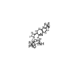 C[C@@](O)(C(=O)C1NC1CCC1=Nc2ccc(C(F)(F)F)cc2CCC1C1CCC1)C(F)(F)F